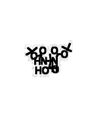 CC(C)(C)OC(=O)NC(C)(NC(=O)OC(C)(C)C)C(=O)O